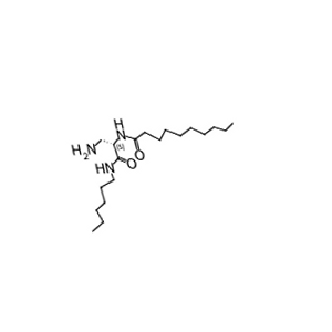 CCCCCCCCCC(=O)N[C@@H](CN)C(=O)NCCCCCC